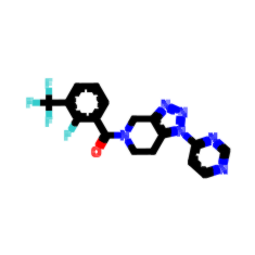 O=C(c1cccc(C(F)(F)F)c1F)N1CCc2c(nnn2-c2ccncn2)C1